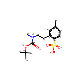 Cc1ccc(S(=O)(=O)O)c(CCN(C)C(=O)OC(C)(C)C)c1